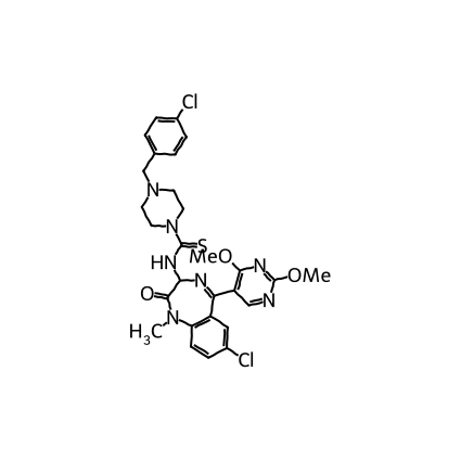 COc1ncc(C2=NC(NC(=S)N3CCN(Cc4ccc(Cl)cc4)CC3)C(=O)N(C)c3ccc(Cl)cc32)c(OC)n1